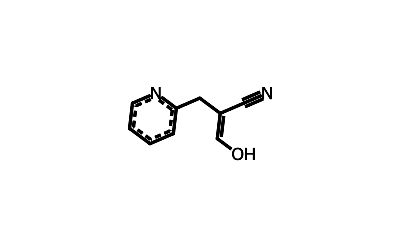 N#CC(=CO)Cc1ccccn1